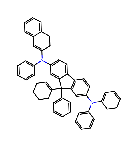 C1=CCCC(N(c2ccccc2)c2ccc3c(c2)C(C2=CCCCC2)(c2ccccc2)c2cc(N(C4=Cc5ccccc5CC4)c4ccccc4)ccc2-3)=C1